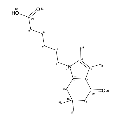 Cc1c2c(n(CCCCCC(=O)O)c1C)CC(C)(C)CC2=O